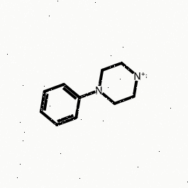 c1ccc(N2CC[N+]CC2)cc1